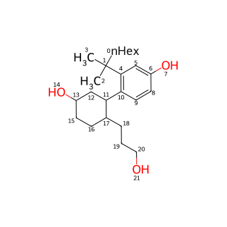 CCCCCCC(C)(C)c1cc(O)ccc1C1CC(O)CCC1CCCO